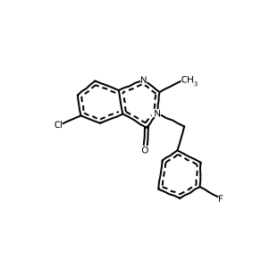 Cc1nc2ccc(Cl)cc2c(=O)n1Cc1cccc(F)c1